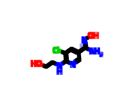 N/C(=N\O)c1cnc(NCCO)c(Cl)c1